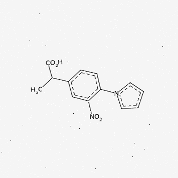 CC(C(=O)O)c1ccc(-n2cccc2)c([N+](=O)[O-])c1